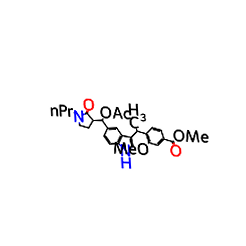 CCCN1CCC(C(OC(C)=O)c2ccc3[nH]cc(C(C)c4ccc(C(=O)OC)cc4OC)c3c2)C1=O